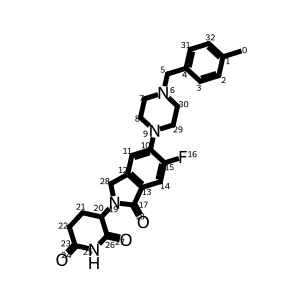 Cc1ccc(CN2CCN(c3cc4c(cc3F)C(=O)N(C3CCC(=O)NC3=O)C4)CC2)cc1